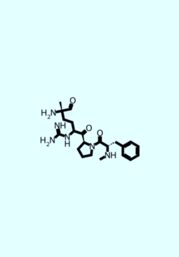 CN[C@@H](Cc1ccccc1)C(=O)N1CCC[C@H]1C(=O)C(CC[C@](C)(N)C=O)NC(=N)N